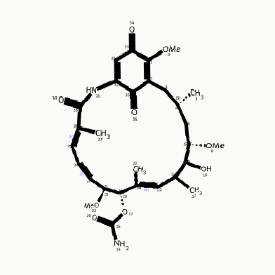 COC1=C2C[C@H](C)C[C@H](OC)C(O)C(C)/C=C(\C)[C@H](OC(N)=O)[C@@H](OC)/C=C\C=C(/C)C(=O)NC(=CC1=O)C2=O